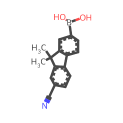 CC1(C)c2cc(C#N)ccc2-c2ccc(B(O)O)cc21